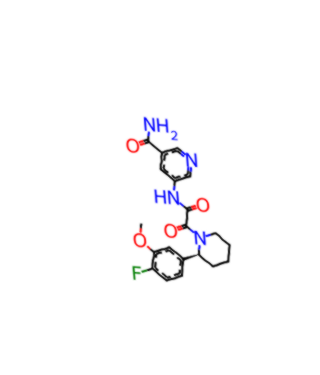 COc1cc([C@@H]2CCCCN2C(=O)C(=O)Nc2cncc(C(N)=O)c2)ccc1F